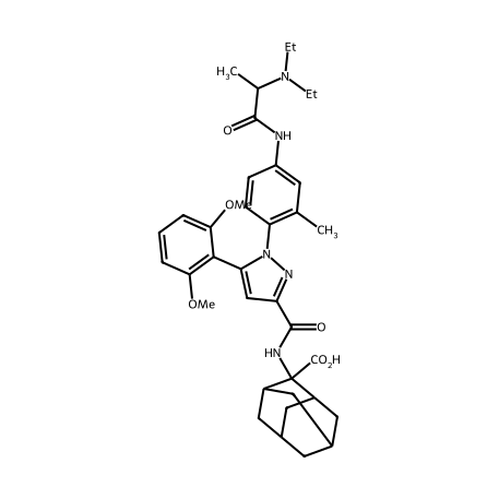 CCN(CC)C(C)C(=O)Nc1ccc(-n2nc(C(=O)NC3(C(=O)O)C4CC5CC(C4)CC3C5)cc2-c2c(OC)cccc2OC)c(C)c1